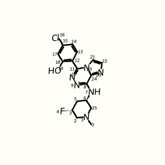 CN1C[C@H](F)C[C@@H](Nc2nnc(-c3ccc(Cl)cc3O)n3ccnc23)C1